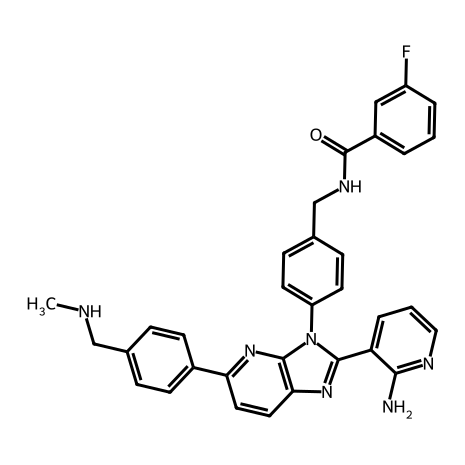 CNCc1ccc(-c2ccc3nc(-c4cccnc4N)n(-c4ccc(CNC(=O)c5cccc(F)c5)cc4)c3n2)cc1